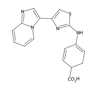 O=C(O)C1C=CC(Nc2nc(-c3cnc4ccccn34)cs2)=CC1